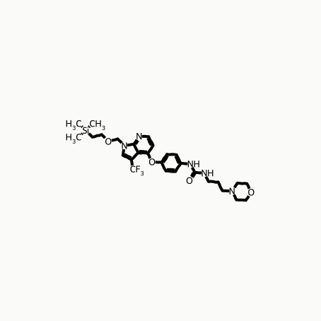 C[Si](C)(C)CCOCn1cc(C(F)(F)F)c2c(Oc3ccc(NC(=O)NCCCN4CCOCC4)cc3)ccnc21